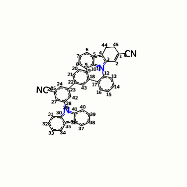 N#CC1=Cc2c(c3ccccc3n2-c2ccccc2-c2cccc(-c3cc(C#N)cc(-n4c5ccccc5c5ccccc54)c3)c2)CC1